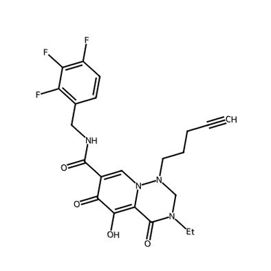 C#CCCCN1CN(CC)C(=O)c2c(O)c(=O)c(C(=O)NCc3ccc(F)c(F)c3F)cn21